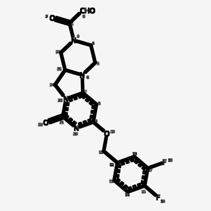 O=CC(=O)N1CCN2c3cc(OCc4ccc(F)c(F)c4)nc(=O)n3CC2C1